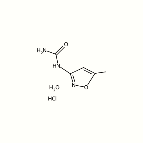 Cc1cc(NC(N)=O)no1.Cl.O